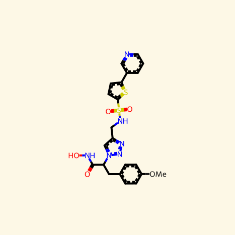 COc1ccc(CC(C(=O)NO)n2cc(CNS(=O)(=O)c3ccc(-c4cccnc4)s3)nn2)cc1